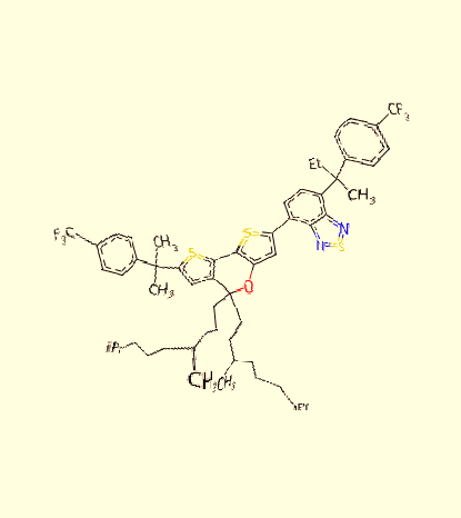 CCC(C)(c1ccc(C(F)(F)F)cc1)c1ccc(-c2cc3c(s2)-c2sc(C(C)(C)c4ccc(C(F)(F)F)cc4)cc2C(CCC(C)CCCC(C)C)(CCC(C)CCCC(C)C)O3)c2nsnc12